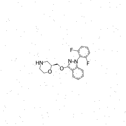 Fc1cccc(F)c1-n1nc(OC[C@@H]2CNCCO2)c2ccccc21